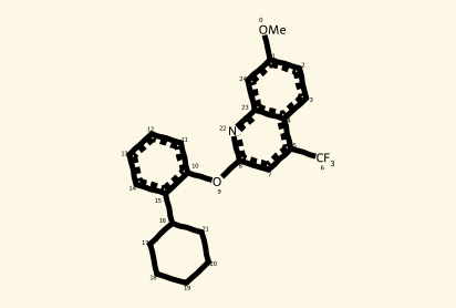 COc1ccc2c(C(F)(F)F)cc(Oc3ccccc3C3CCCCC3)nc2c1